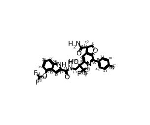 C[C@]1(C(N)=O)COc2c1cc(C(O)(CNC(=O)c1cc3c(OC(F)F)cccc3[nH]1)C(F)(F)F)nc2-c1ccc(F)cc1